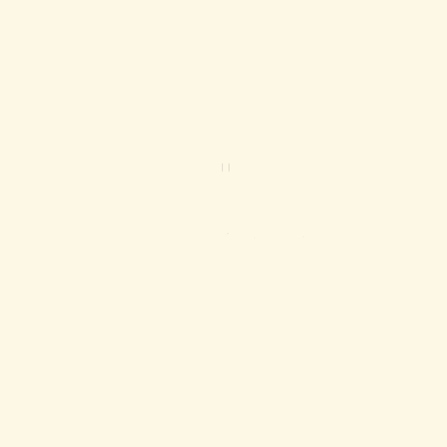 C#Cc1ccccc1C(=O)Oc1ccccc1